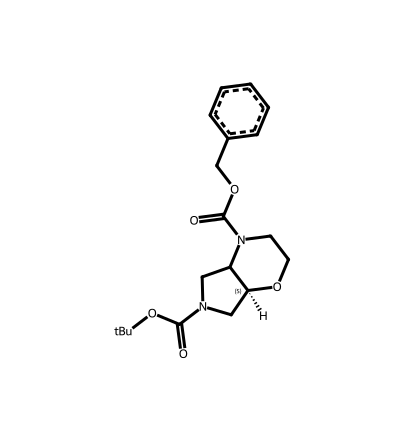 CC(C)(C)OC(=O)N1CC2[C@H](C1)OCCN2C(=O)OCc1ccccc1